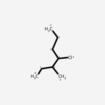 CCCC(Cl)C(C)CC